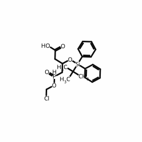 CC(C)(C)[Si](OC(CC(=O)O)C[PH](=O)OCCl)(c1ccccc1)c1ccccc1